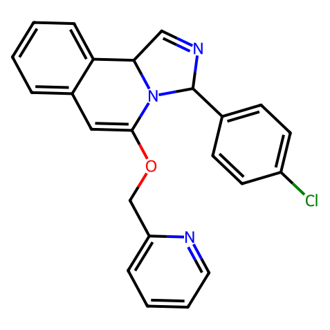 Clc1ccc(C2N=CC3c4ccccc4C=C(OCc4ccccn4)N32)cc1